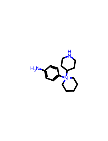 Nc1ccc([N+]2(C3CCNCC3)CCCCC2)cc1